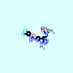 CCN(CCOC)Cc1cc(-c2ccc(NC(=O)Nc3ccc(Cl)c(C(F)(F)F)c3)nc2)c2c(N)ncnn12